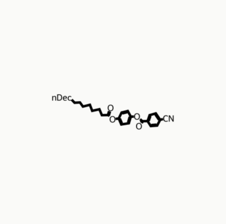 CCCCCCCCCCCCCCCCCC(=O)Oc1ccc(OC(=O)c2ccc(C#N)cc2)cc1